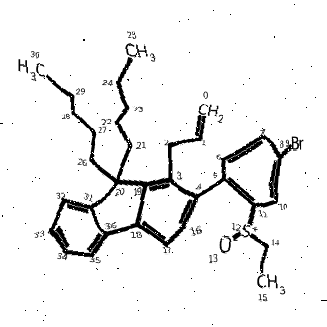 C=CCc1c(-c2ccc(Br)cc2[S+]([O-])CC)ccc2c1C(CCCCC)(CCCCC)c1ccccc1-2